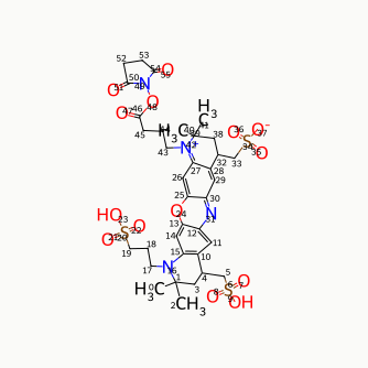 CC1(C)CC(CS(=O)(=O)O)c2cc3c(cc2N1CCCS(=O)(=O)O)Oc1cc2c(cc1=N3)C(CS(=O)(=O)[O-])CC(C)(C)[N+]=2CCCC(=O)ON1C(=O)CCC1=O